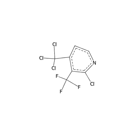 FC(F)(F)c1c(C(Cl)(Cl)Cl)ccnc1Cl